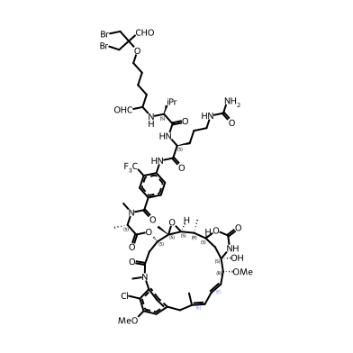 COc1cc2cc(c1Cl)N(C)C(=O)C[C@H](OC(=O)[C@H](C)N(C)C(=O)c1ccc(NC(=O)[C@H](CCCNC(N)=O)NC(=O)[C@@H](NC(C=O)CCCCOC(C=O)(CBr)CBr)C(C)C)c(C(F)(F)F)c1)[C@]1(C)O[C@H]1[C@H](C)[C@@H]1C[C@@](O)(NC(=O)O1)[C@H](OC)/C=C/C=C(\C)C2